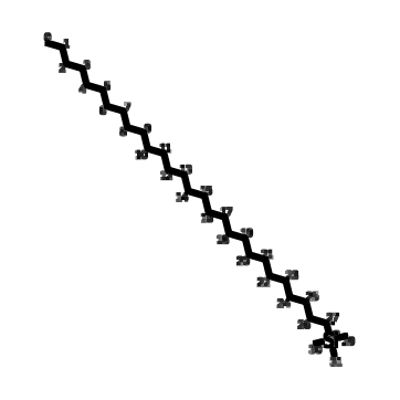 CCCCCCCCCCCCCCCCCCCCCCCCCCC[CH][Si](C)(C)C